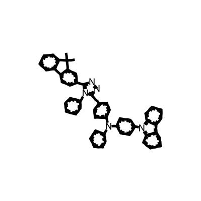 CC1(C)c2ccccc2-c2ccc(-c3nnc(-c4ccc(N(c5ccccc5)c5ccc(-n6c7ccccc7c7ccccc76)cc5)cc4)n3-c3ccccc3)cc21